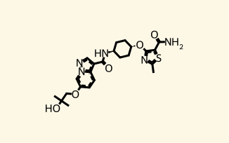 Cc1nc(O[C@H]2CC[C@H](NC(=O)c3cnn4cc(OCC(C)(C)O)ccc34)CC2)c(C(N)=O)s1